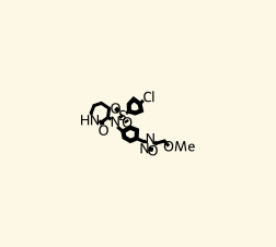 COCc1nc(-c2ccc(CN(C3CCCCNC3=O)S(=O)(=O)c3ccc(Cl)cc3)cc2)no1